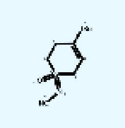 CC(C)(C)C1=CCS(=O)(=NC#N)CC1